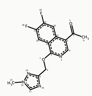 CC(=O)c1cnc(OCc2ncn(C)n2)c2cc(F)c(F)cc12